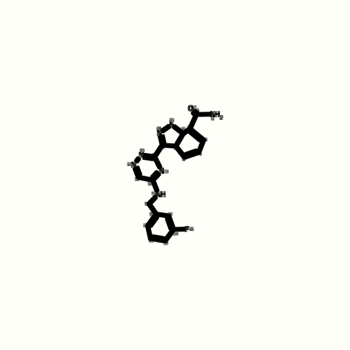 NC(=O)C1=CC=CC2C(c3nncc(NCc4cccc(F)c4)n3)=NSC12